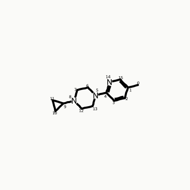 Cc1ccc(N2CCN(C3CC3)CC2)nc1